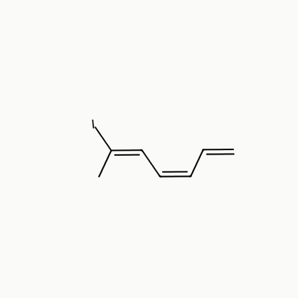 C=C/C=C\C=C(/C)I